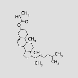 CNC(=O)O[C@@H]1CC[C@]2(C)C(=CCC3C2CC[C@]2(C)C3CC[C@H]2[C@@H](C)CCCC(C)C)C1